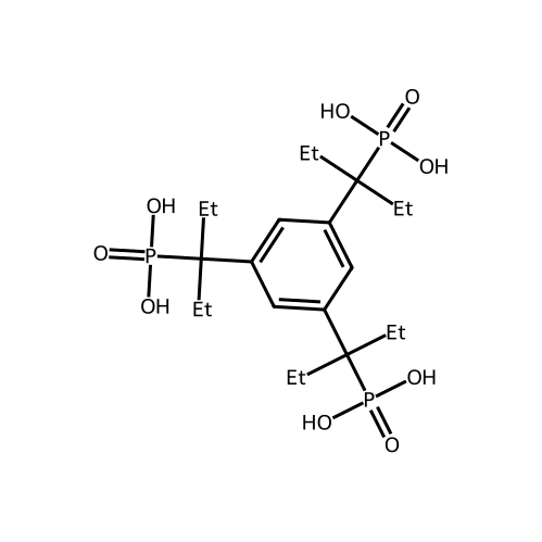 CCC(CC)(c1cc(C(CC)(CC)P(=O)(O)O)cc(C(CC)(CC)P(=O)(O)O)c1)P(=O)(O)O